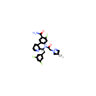 NC(=O)c1cc(-c2cccnc2[C@H](Cc2cc(F)cc(F)c2)NC(=O)Cn2cc(C(F)(F)F)cn2)ccc1F